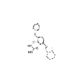 CN1CCCCC1COc1ccc(Cc2ccccc2)cc1.O=C(O)C(=O)O